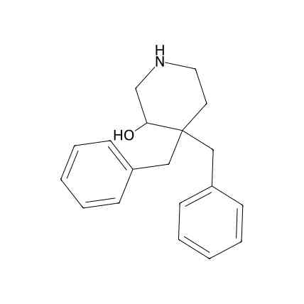 OC1CNCCC1(Cc1ccccc1)Cc1ccccc1